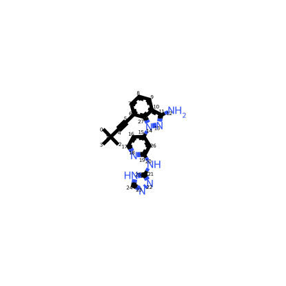 CC(C)(C)C#Cc1cccc2c(N)nn(-c3ccnc(Nc4nnc[nH]4)c3)c12